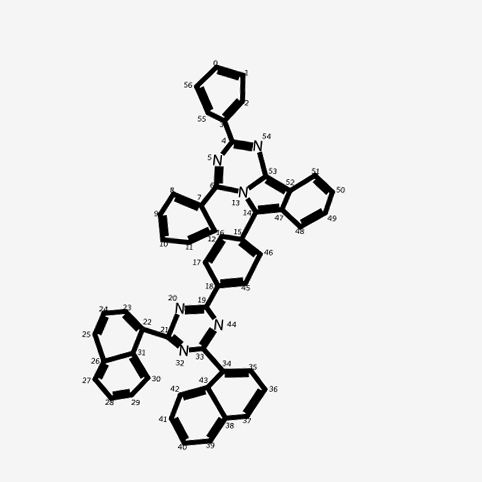 c1ccc(-c2nc(-c3ccccc3)n3c(-c4ccc(-c5nc(-c6cccc7ccccc67)nc(-c6cccc7ccccc67)n5)cc4)c4ccccc4c3n2)cc1